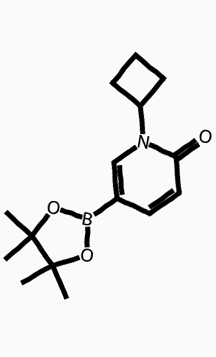 CC1(C)OB(c2ccc(=O)n(C3CCC3)c2)OC1(C)C